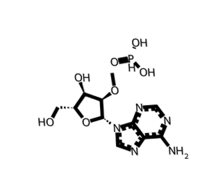 CO[C@@H]1[C@H](O)[C@@H](CO)O[C@H]1n1cnc2c(N)ncnc21.O=[PH](O)O